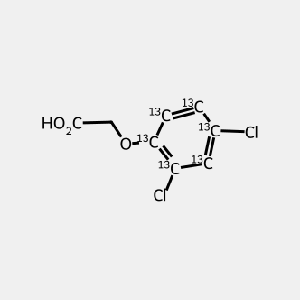 O=C(O)CO[13c]1[13cH][13cH][13c](Cl)[13cH][13c]1Cl